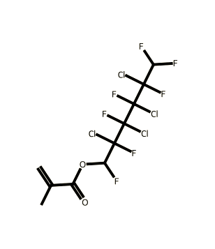 C=C(C)C(=O)OC(F)C(F)(Cl)C(F)(Cl)C(F)(Cl)C(F)(Cl)C(F)F